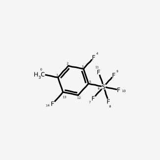 Cc1cc(F)c(S(F)(F)(F)(F)F)cc1F